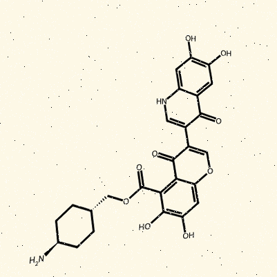 N[C@H]1CC[C@H](COC(=O)c2c(O)c(O)cc3occ(-c4c[nH]c5cc(O)c(O)cc5c4=O)c(=O)c23)CC1